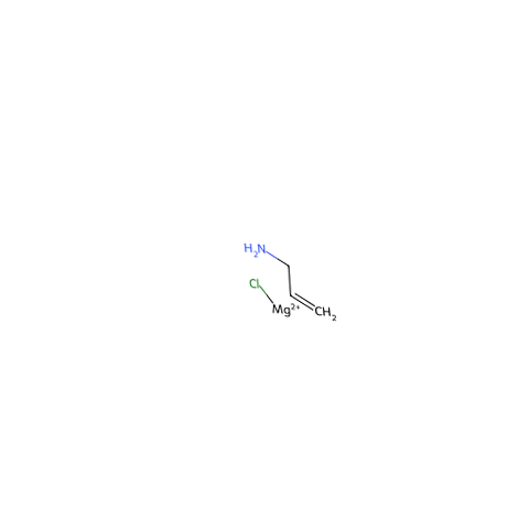 C=CCN.[Mg+2][Cl]